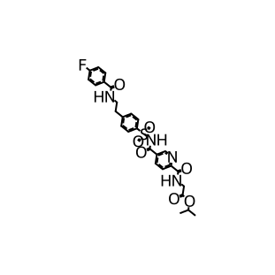 CC(C)OC(=O)CNC(=O)c1ccc(C(=O)NS(=O)(=O)c2ccc(CCNC(=O)c3ccc(F)cc3)cc2)cn1